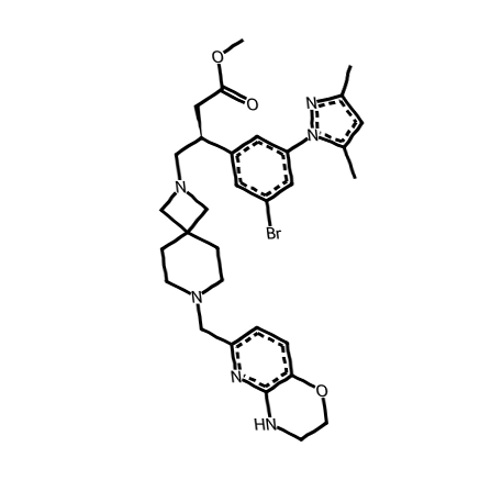 COC(=O)C[C@H](CN1CC2(CCN(Cc3ccc4c(n3)NCCO4)CC2)C1)c1cc(Br)cc(-n2nc(C)cc2C)c1